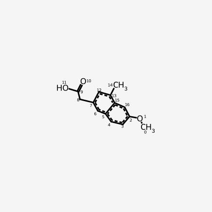 COc1ccc2cc(CC(=O)O)cc(C)c2c1